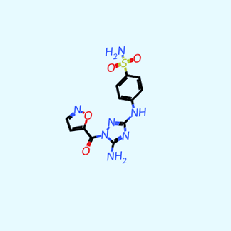 Nc1nc(Nc2ccc(S(N)(=O)=O)cc2)nn1C(=O)c1ccno1